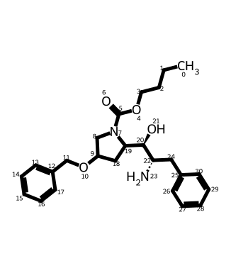 CCCCOC(=O)N1CC(OCc2ccccc2)CC1[C@@H](O)[C@@H](N)Cc1ccccc1